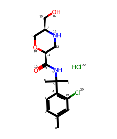 Cc1ccc(C(C)(C)NC(=O)[C@@H]2CN[C@H](CO)CO2)c(Cl)c1.Cl